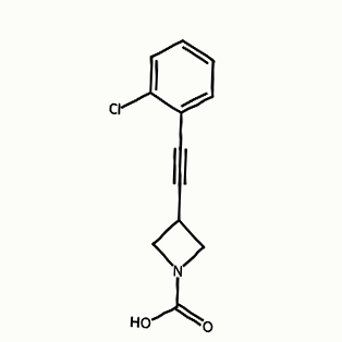 O=C(O)N1CC(C#Cc2ccccc2Cl)C1